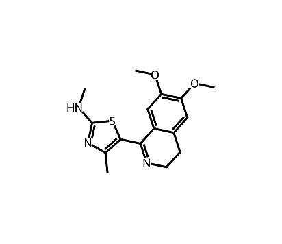 CNc1nc(C)c(C2=NCCc3cc(OC)c(OC)cc32)s1